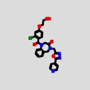 O=C1CN(C(=O)c2ccc(OCCO)cc2Cl)c2ccccc2CN1Cc1nnc(-c2ccncc2)o1